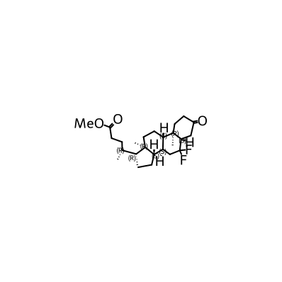 COC(=O)CC[C@@H](C)[C@H]1CC[C@H]2[C@@H]3CC(F)(F)[C@H]4CC(=O)CC[C@]4(C)[C@H]3CC[C@]12C